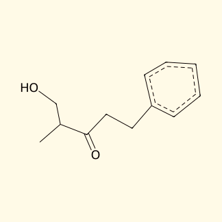 CC(CO)C(=O)CCc1ccccc1